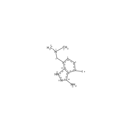 CN(C)Cc1ccc(I)c2c(N)n[nH]c12